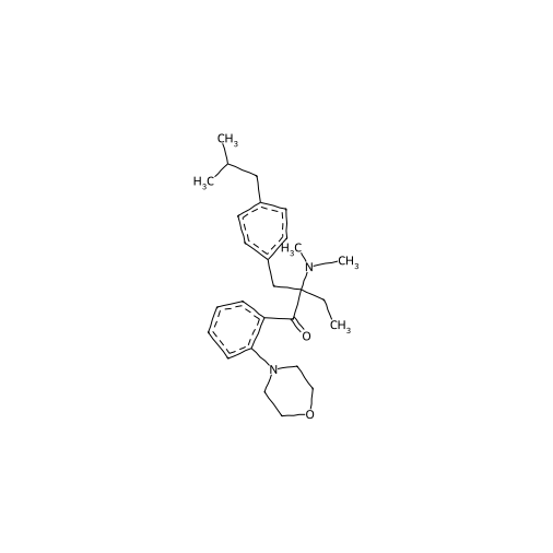 CCC(Cc1ccc(CC(C)C)cc1)(C(=O)c1ccccc1N1CCOCC1)N(C)C